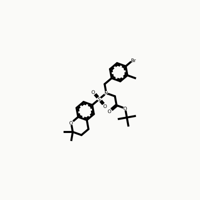 Cc1cc(CN(CC(=O)OC(C)(C)C)S(=O)(=O)c2ccc3c(c2)CCC(C)(C)O3)ccc1Br